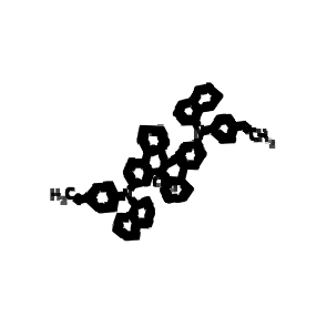 C=Cc1ccc(N(c2ccc3c(c2)C2c4ccccc4-c4ccc(N(c5ccc(C=C)cc5)c5cccc6ccccc56)cc4C2(C)c2ccccc2-3)c2cccc3ccccc23)cc1